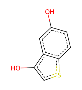 Oc1ccc2scc(O)c2c1